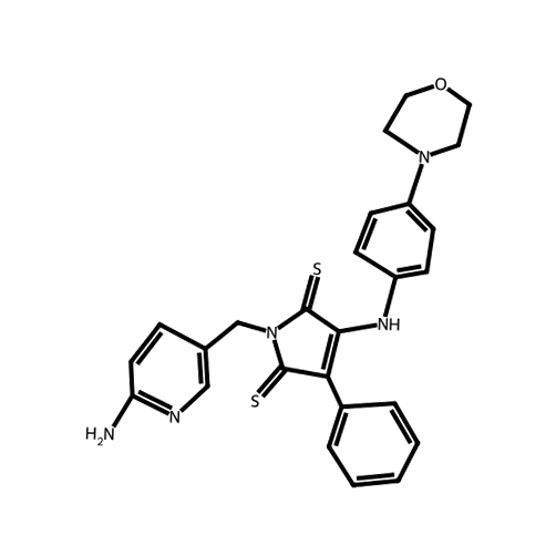 Nc1ccc(CN2C(=S)C(Nc3ccc(N4CCOCC4)cc3)=C(c3ccccc3)C2=S)cn1